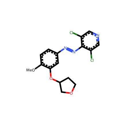 COc1ccc(N=Nc2c(Cl)cncc2Cl)cc1OC1CCOC1